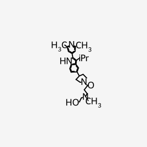 Cc1cc(-c2[nH]c3ccc(C4CCN(C(=O)CCN(C)CCO)CC4)cc3c2C(C)C)cc(C)n1